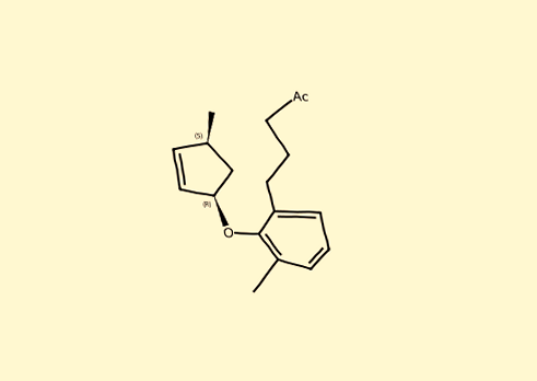 CC(=O)CCCc1cccc(C)c1O[C@H]1C=C[C@@H](C)C1